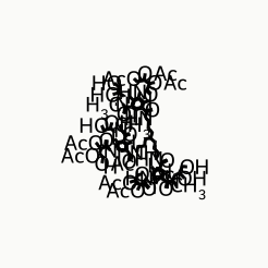 CC(=O)OCC(OC(C)=O)C(OC(C)=O)C(=O)Nc1c(I)c(C(=O)NCCCC(CCCNC(=O)c2c(I)c(NC(=O)C(OC(C)=O)C(COC(C)=O)OC(C)=O)c(I)c(C(=O)N(C)CC(O)CO)c2I)CCCNC(=O)c2c(I)c(NC(=O)C(OC(C)=O)C(COC(C)=O)OC(C)=O)c(I)c(C(=O)N(C)CC(O)CO)c2I)c(I)c(C(=O)N(C)CC(O)CO)c1I